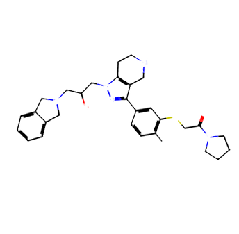 O=C(CSc1cc(-c2nn(CC(O)CN3Cc4ccccc4C3)c3c2CNCC3)ccc1C(F)(F)F)N1CCCC1